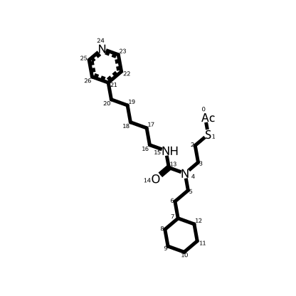 CC(=O)SCCN(CCC1CCCCC1)C(=O)NCCCCCc1ccncc1